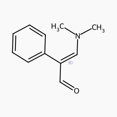 CN(C)/C=C(/C=O)c1ccccc1